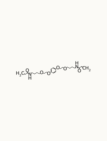 C=CC(=O)NCCCCOCCOc1ccc(OCCOCCCCNC(=O)C=C)cc1